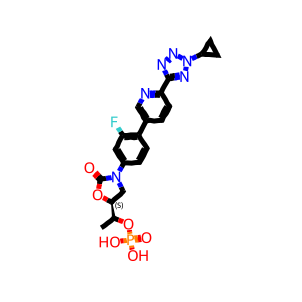 CC(OP(=O)(O)O)[C@@H]1CN(c2ccc(-c3ccc(-c4nnn(C5CC5)n4)nc3)c(F)c2)C(=O)O1